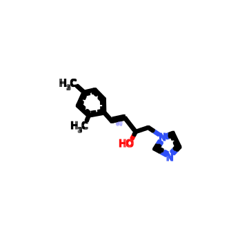 Cc1ccc(/C=C/C(O)Cn2ccnc2)c(C)c1